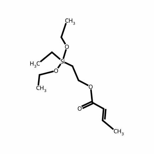 CC=CC(=O)OCC[Si](CC)(OCC)OCC